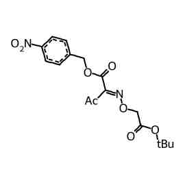 CC(=O)/C(=N\OCC(=O)OC(C)(C)C)C(=O)OCc1ccc([N+](=O)[O-])cc1